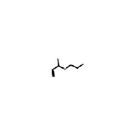 C=CC(C)OCCC